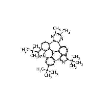 Cc1nc2c(nc1C)-c1ccc3c(C(C)(C)C)nn4c3c1B1c3c(cc(C(C)(C)C)cc3-4)-n3nc(C(C)(C)C)c4ccc-2c1c43